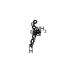 Cl.Nc1ncnc2c1n(-c1ccc(Oc3ccccc3)cc1)c(=O)n2C1CCN(C2CCN(C3CNC3)CC2)CC1